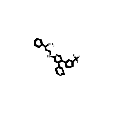 NC(CCNc1cc(-c2ccncc2)c(-c2cccc(C(F)(F)F)c2)cn1)c1ccccc1